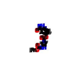 CC(C)OC(=O)N[C@@H]1CCN(C(=O)OC2C3CC4CC2CC(C(N)=O)(C4)C3)C1